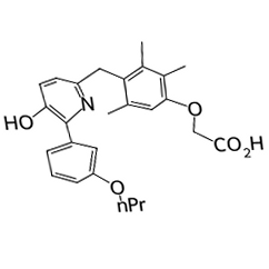 CCCOc1cccc(-c2nc(Cc3c(C)cc(OCC(=O)O)c(C)c3C)ccc2O)c1